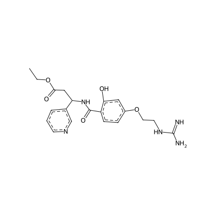 CCOC(=O)CC(NC(=O)c1ccc(OCCNC(=N)N)cc1O)c1cccnc1